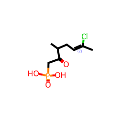 C/C(Cl)=C/CC(C)C(=O)CP(=O)(O)O